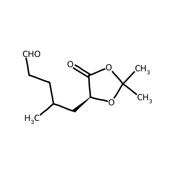 CC(CCC=O)C[C@@H]1OC(C)(C)OC1=O